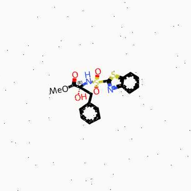 COC(=O)[C@](O)(Cc1ccccc1)NS(=O)(=O)c1nc2ccccc2s1